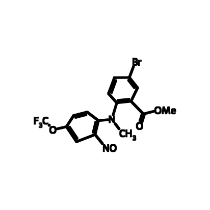 COC(=O)c1cc(Br)ccc1N(C)c1ccc(OC(F)(F)F)cc1N=O